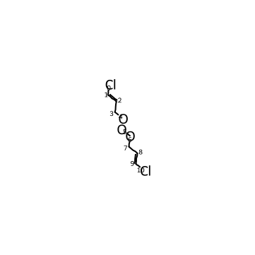 ClC=CCOOOCC=CCl